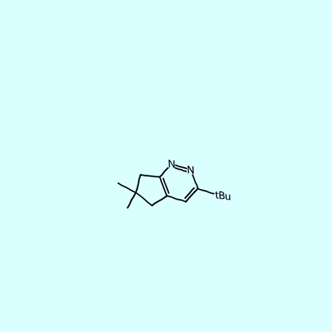 CC1(C)Cc2cc(C(C)(C)C)nnc2C1